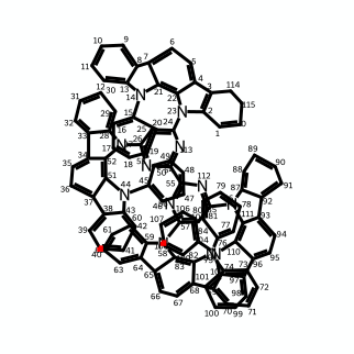 C1=Cc2c(c3ccc4c5ccccc5n(-c5ccccc5)c4c3n2-c2cc(-n3c4ccccc4c4ccc5c6ccccc6n(-c6ccccc6)c5c43)nc(-c3nc(-n4c5ccccc5c5ccc6c7ccccc7n(-c7ccccc7)c6c54)cc(-n4c5ccccc5c5ccc6c7ccccc7n(-c7ccccc7)c6c54)n3)n2)CC1